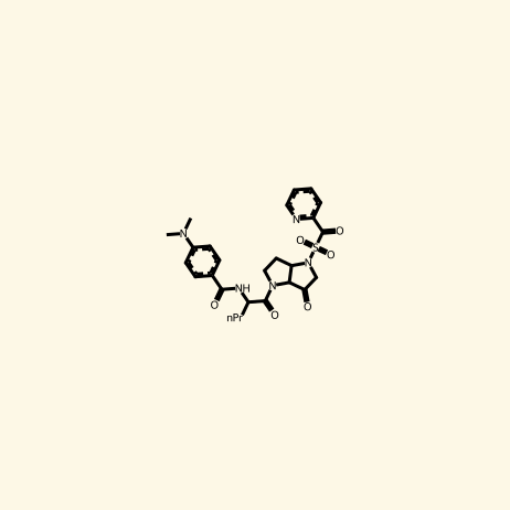 CCCC(NC(=O)c1ccc(N(C)C)cc1)C(=O)N1CCC2C1C(=O)CN2S(=O)(=O)C(=O)c1ccccn1